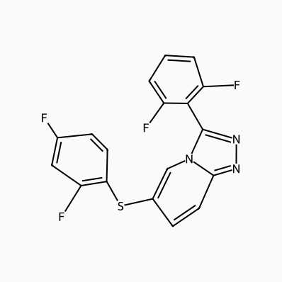 Fc1ccc(Sc2ccc3nnc(-c4c(F)cccc4F)n3c2)c(F)c1